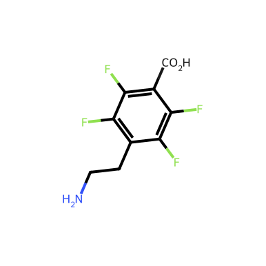 NCCc1c(F)c(F)c(C(=O)O)c(F)c1F